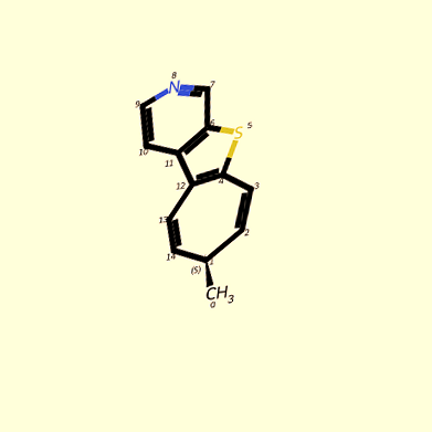 C[C@@H]1C=Cc2sc3cnccc3c2C=C1